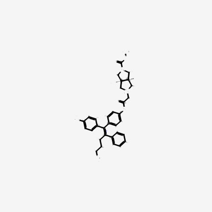 CC(C)(C)OC(=O)N1C[C@H]2CN(CC(=O)Nc3ccc(/C(=C(/CCCO)c4ccccc4)c4ccc(O)cc4)cc3)C[C@H]2C1